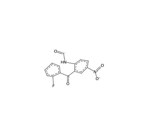 O=[C]Nc1ccc([N+](=O)[O-])cc1C(=O)c1ccccc1F